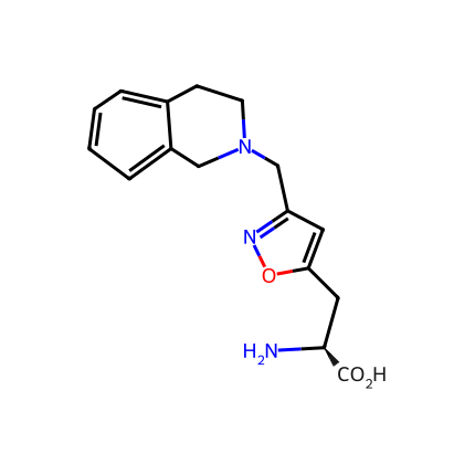 N[C@@H](Cc1cc(CN2CCc3ccccc3C2)no1)C(=O)O